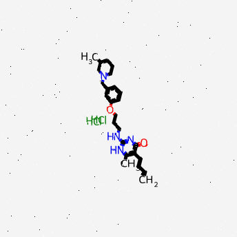 C=CCCc1c(C)[nH]c(NCCCOc2cccc(CN3CCCC(C)C3)c2)nc1=O.Cl.Cl